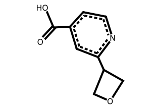 O=C(O)c1ccnc(C2COC2)c1